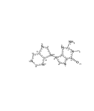 Cn1c(N)nc2c(ncn2-n2cnc3cncnc32)c1=O